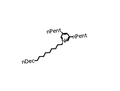 CCCCCCCCCCCCCCCCCCC[n+]1cc(CCCCC)cc(CCCCC)c1